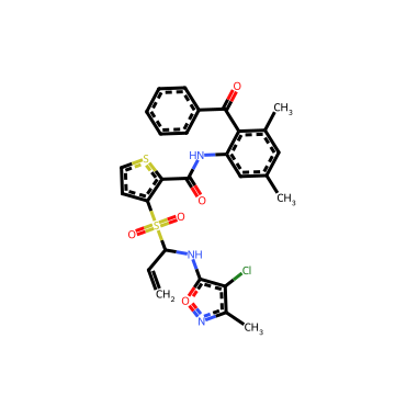 C=CC(Nc1onc(C)c1Cl)S(=O)(=O)c1ccsc1C(=O)Nc1cc(C)cc(C)c1C(=O)c1ccccc1